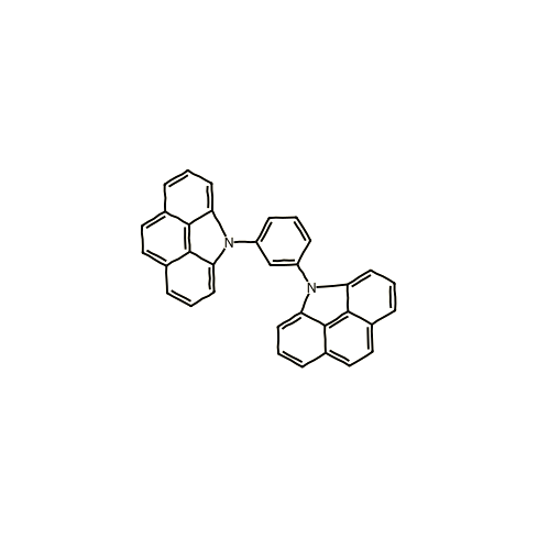 c1cc(-n2c3cccc4ccc5cccc2c5c43)cc(-n2c3cccc4ccc5cccc2c5c43)c1